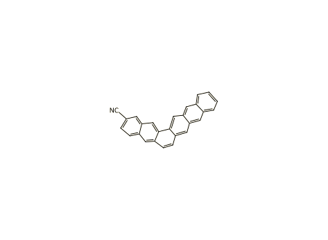 N#Cc1ccc2cc3ccc4cc5cc6ccccc6cc5cc4c3cc2c1